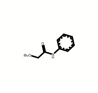 CC(C)COCC(=O)Nc1ccccc1